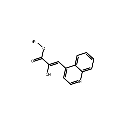 CC(C)(C)OC(=O)/C(C#N)=C/c1ccnc2ccccc12